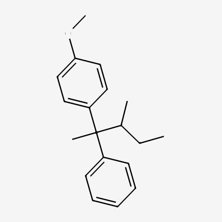 CCC(C)C(C)(c1ccccc1)c1ccc(OC)cc1